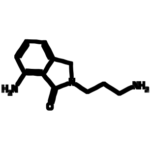 NCCCN1Cc2cccc(N)c2C1=O